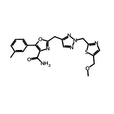 COCc1cnc(Cn2ncc(Cc3nc(C(N)=O)c(-c4cccc(C)c4)o3)n2)s1